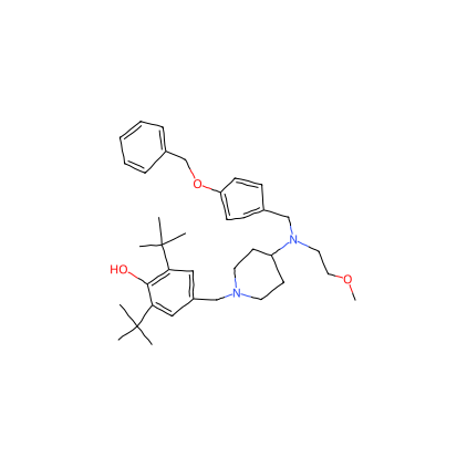 COCCN(Cc1ccc(OCc2ccccc2)cc1)C1CCN(Cc2cc(C(C)(C)C)c(O)c(C(C)(C)C)c2)CC1